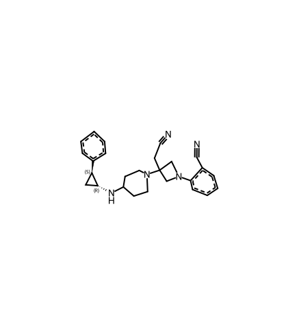 N#CCC1(N2CCC(N[C@@H]3C[C@H]3c3ccccc3)CC2)CN(c2ccccc2C#N)C1